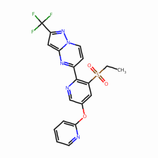 CCS(=O)(=O)c1cc(Oc2ccccn2)cnc1-c1ccn2nc(C(F)(F)F)cc2n1